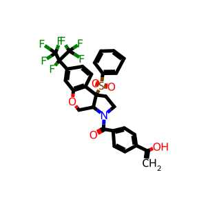 C=C(O)c1ccc(C(=O)N2CCC3(S(=O)(=O)c4ccccc4)c4ccc(C(F)(C(F)(F)F)C(F)(F)F)cc4OCC23)cc1